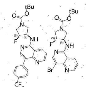 CC(C)(C)OC(=O)N1C[C@H](F)[C@H](Nc2ncc(-c3ccc(C(F)(F)F)cc3)c3ncccc23)C1.CC(C)(C)OC(=O)N1C[C@H](F)[C@H](Nc2ncc(Br)c3ncccc23)C1